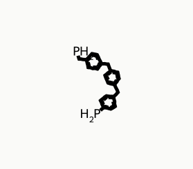 PCc1ccc(Cc2ccc(Cc3ccc(P)cc3)cc2)cc1